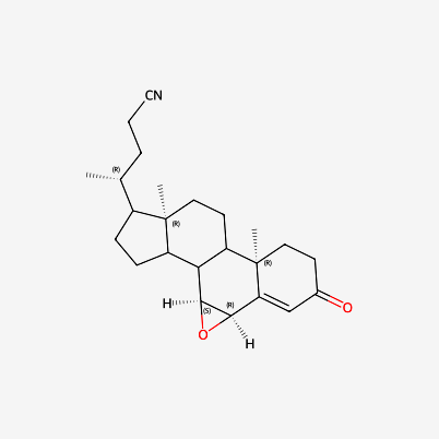 C[C@H](CCC#N)C1CCC2C3C(CC[C@@]21C)[C@@]1(C)CCC(=O)C=C1[C@H]1O[C@@H]31